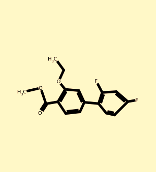 CCOc1cc(-c2ccc(F)cc2F)ccc1C(=O)OC